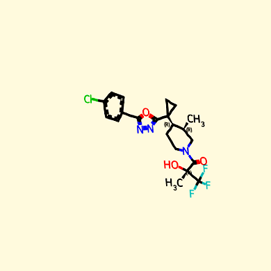 C[C@H]1CN(C(=O)[C@@](C)(O)C(F)(F)F)CC[C@H]1C1(c2nnc(-c3ccc(Cl)cc3)o2)CC1